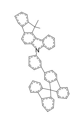 CC1(C)c2ccccc2-c2ccc3c(c21)c1ccccc1n3-c1cccc(-c2ccc3c(c2)C2(c4ccccc4-c4ccccc42)c2ccccc2-3)c1